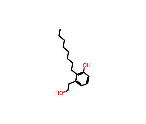 CCCCCCCCc1c(O)cccc1CCO